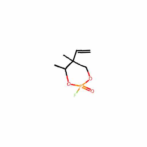 C=CC1(C)COP(=O)(F)OC1C